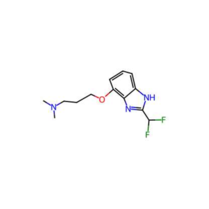 CN(C)CCCOc1cccc2[nH]c(C(F)F)nc12